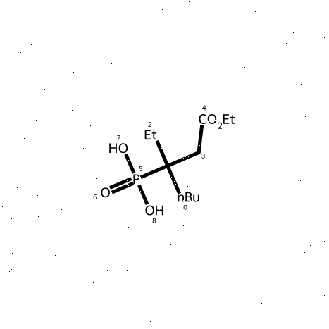 CCCCC(CC)(CC(=O)OCC)P(=O)(O)O